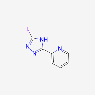 Ic1nnc(-c2ccccn2)[nH]1